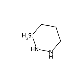 C1CNN[SiH2]C1